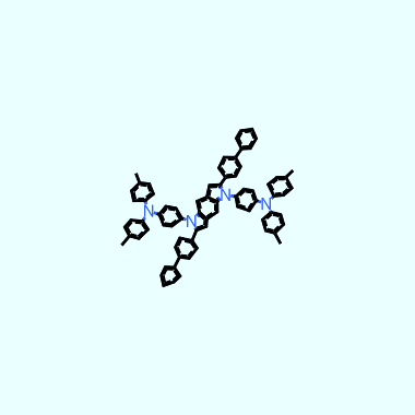 Cc1ccc(N(c2ccc(C)cc2)c2ccc(-n3c(-c4ccc(-c5ccccc5)cc4)cc4cc5c(cc(-c6ccc(-c7ccccc7)cc6)n5-c5ccc(N(c6ccc(C)cc6)c6ccc(C)cc6)cc5)cc43)cc2)cc1